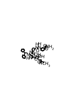 CCc1cc(C2OC(n3cnc4c(NCC(c5ccccc5)c5ccccc5)nc(N5CCC(NC(=O)Nc6cccc(S(N)(=O)=O)c6)C5)nc43)C(O)C2O)on1